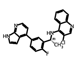 C[C@@H](Nc1c(Cl)cnc2ccccc12)c1cc(-c2ccnc3[nH]ccc23)ccc1F